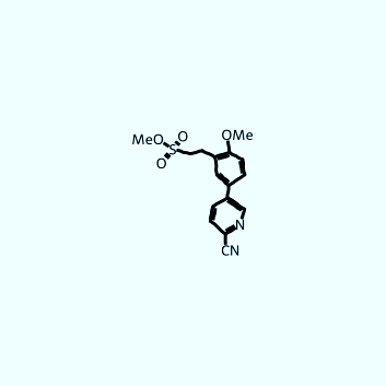 COc1ccc(-c2ccc(C#N)nc2)cc1CCS(=O)(=O)OC